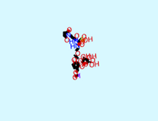 O=C(CCN1C(=O)C=CC1=O)N[C@@H](CS(=O)(=O)O)C(=O)NCCOCCOc1ccc(COC(=O)I)c(O[C@@H]2O[C@H](C(=O)O)[C@@H](O)[C@H](O)[C@H]2O)c1